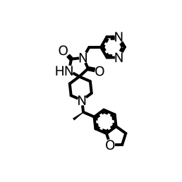 C[C@H](c1ccc2c(c1)OCC2)N1CCC2(CC1)NC(=O)N(Cc1cncnc1)C2=O